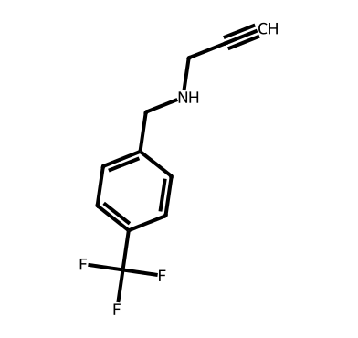 C#CCNCc1ccc(C(F)(F)F)cc1